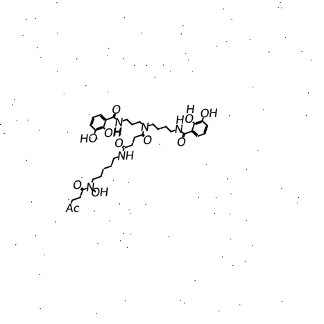 CC(=O)CCC(=O)N(O)CCCCCNC(=O)CCC(=O)N(CCCCNC(=O)c1cccc(O)c1O)CCCNC(=O)c1cccc(O)c1O